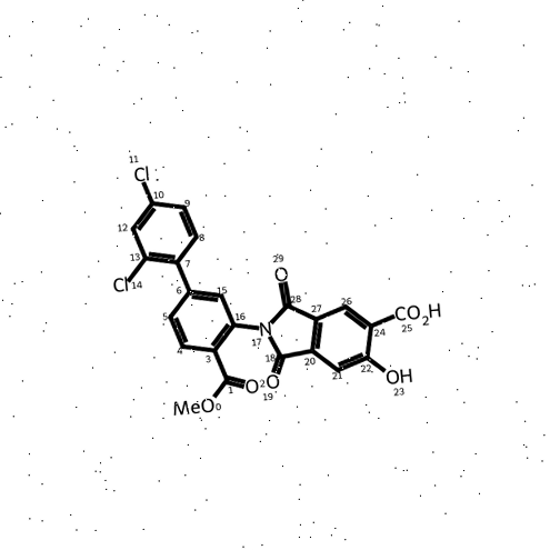 COC(=O)c1ccc(-c2ccc(Cl)cc2Cl)cc1N1C(=O)c2cc(O)c(C(=O)O)cc2C1=O